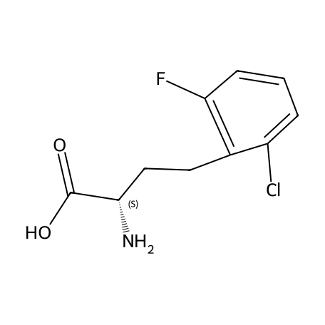 N[C@@H](CCc1c(F)cccc1Cl)C(=O)O